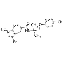 Cn1cc(Br)c2cc(C(=O)NC(C)(C)COc3ccc(C#N)cn3)cnc21